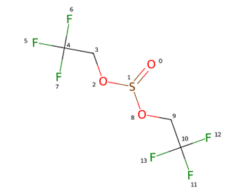 O=S(OCC(F)(F)F)OCC(F)(F)F